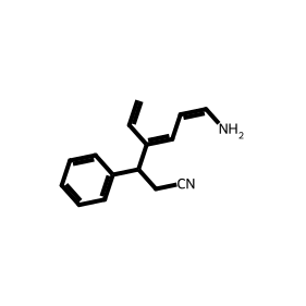 C=C/C(=C\C=C/N)C(CC#N)c1ccccc1